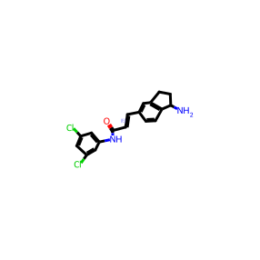 NC1CCc2cc(/C=C/C(=O)Nc3cc(Cl)cc(Cl)c3)ccc21